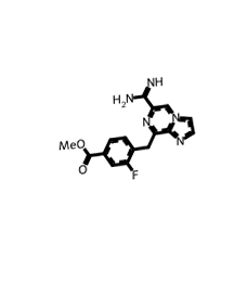 COC(=O)c1ccc(Cc2nc(C(=N)N)cn3ccnc23)c(F)c1